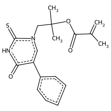 C=C(C)C(=O)OC(C)(C)Cn1cc(-c2ccccc2)c(=O)[nH]c1=S